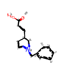 O=C(O)/C=C/C1CCN(Cc2ccccc2)C1